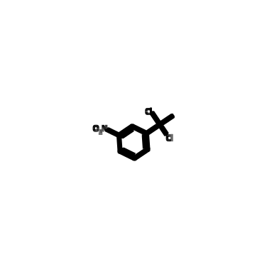 CC(Cl)(Cl)c1cccc([N+](=O)[O-])c1